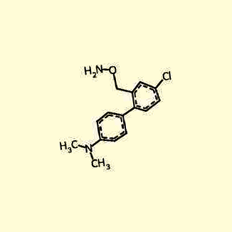 CN(C)c1ccc(-c2ccc(Cl)cc2CON)cc1